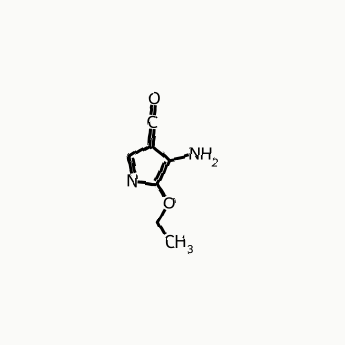 CCOC1=C(N)C(=C=O)C=N1